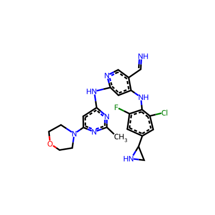 Cc1nc(Nc2cc(Nc3c(F)cc(C4CN4)cc3Cl)c(C=N)cn2)cc(N2CCOCC2)n1